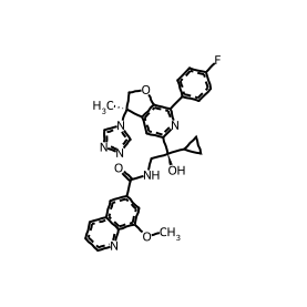 COc1cc(C(=O)NC[C@](O)(c2cc3c(c(-c4ccc(F)cc4)n2)OC[C@]3(C)n2cnnc2)C2CC2)cc2cccnc12